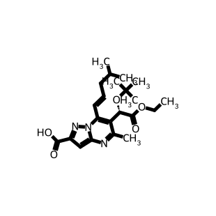 CCOC(=O)[C@@H](OC(C)(C)C)c1c(C)nc2cc(C(=O)O)nn2c1/C=C/CC(C)C